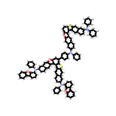 c1ccc(N(c2ccc(-c3cc4oc5cc6cc(N(c7ccccc7)c7cccc8c7oc7ccccc78)ccc6cc5c4c4c3sc3cc5cc(N(c6ccccc6)c6cccc7c6oc6ccccc67)ccc5cc34)cc2)c2ccc3cc4c(cc3c2)oc2ccc3sc5cc6cc(N(c7ccccc7)c7ccccc7)ccc6cc5c3c24)cc1